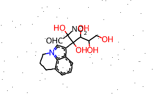 O=CC(O)([N+](=O)[O-])C(O)(c1cn2c3c(cccc13)CCC2)C(O)C(O)CO